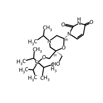 CC(C)N1C[C@H](n2ccc(=O)[nH]c2=O)O[C@@](CO)(CO[Si](C(C)C)(C(C)C)C(C)C)C1